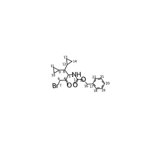 O=C(NC(C(=O)CBr)C(C1CC1)C1CC1)OCc1ccccc1